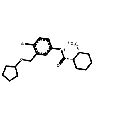 O=C(Nc1ccc(Br)c(COC2CCCC2)c1)[C@H]1CCCC[C@H]1C(=O)O